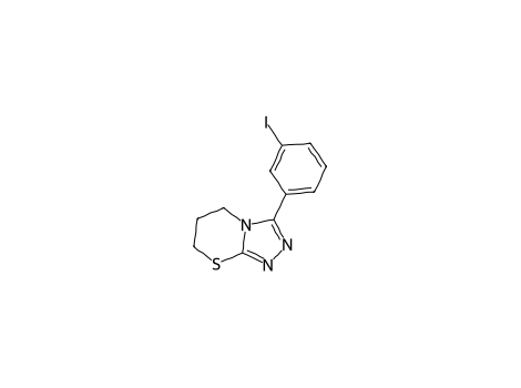 Ic1cccc(-c2nnc3n2CCCS3)c1